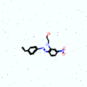 CCc1ccc(N=Nc2ccc([N+](=O)[O-])cc2NCCO)cc1